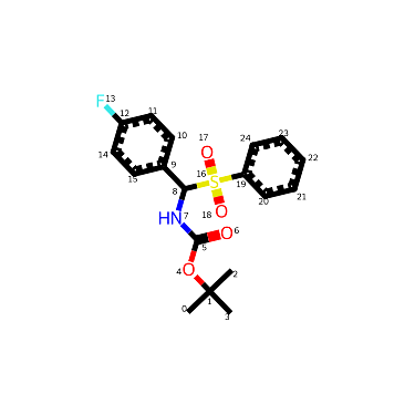 CC(C)(C)OC(=O)NC(c1ccc(F)cc1)S(=O)(=O)c1ccccc1